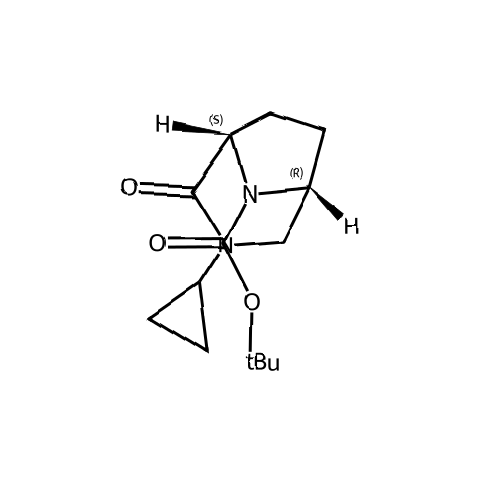 CC(C)(C)OC(=O)N1[C@@H]2CC[C@H]1C(=O)N(C1CC1)C2